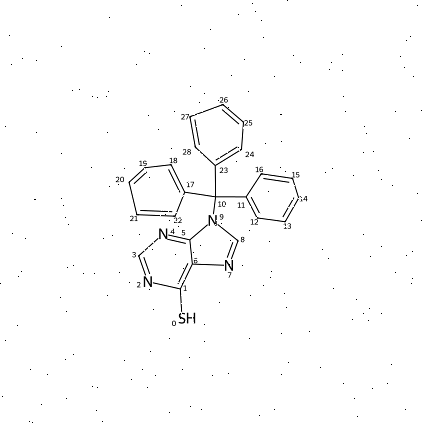 Sc1ncnc2c1ncn2C(c1ccccc1)(c1ccccc1)c1ccccc1